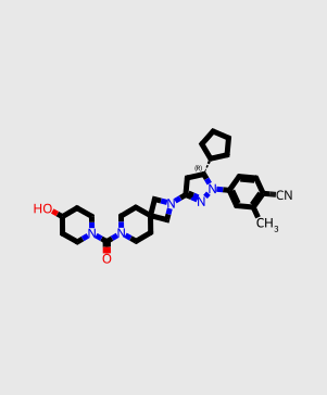 Cc1cc(N2N=C(N3CC4(CCN(C(=O)N5CCC(O)CC5)CC4)C3)C[C@@H]2C2CCCC2)ccc1C#N